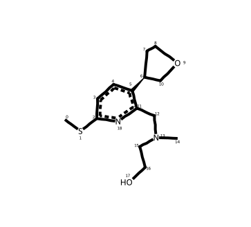 CSc1ccc([C@H]2CCOC2)c(CN(C)CCO)n1